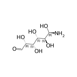 N[C@H](O)[C@@H](O)[C@@H](O)[C@H](O)[C@@H](O)C=O